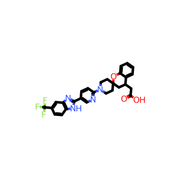 O=C(O)CC1CC2(CCN(c3ccc(-c4nc5cc(C(F)(F)F)ccc5[nH]4)cn3)CC2)Oc2ccccc21